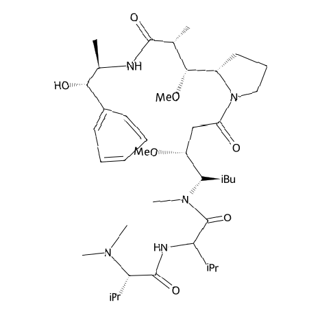 CC[C@H](C)[C@@H]([C@@H](CC(=O)N1CCC[C@H]1[C@H](OC)[C@@H](C)C(=O)N[C@H](C)[C@@H](O)c1ccccc1)OC)N(C)C(=O)C(NC(=O)[C@H](C(C)C)N(C)C)C(C)C